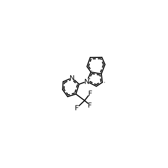 FC(F)(F)c1cccnc1-n1c[c]c2ccccc21